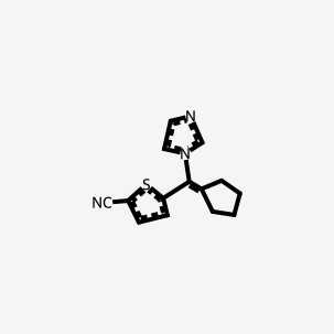 N#Cc1ccc(C(=C2CCCC2)n2ccnc2)s1